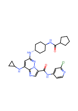 O=C(Nc1ccnc(Cl)c1)c1cnc2c(NC3CC3)cc(N[C@H]3CC[C@H](NC(=O)C4CCCC4)CC3)nn12